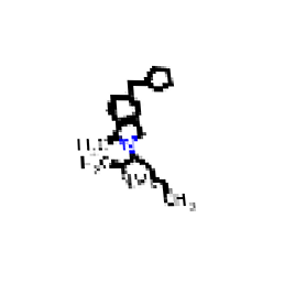 C=CCCC(C(=C)NC)N1Cc2cc(CC3CCCC3)ccc2C1=C